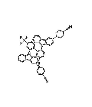 N#Cc1ccc(-c2ccc3c(c2)c2ccccc2n3-c2ccc(C#N)cc2-c2ccc(C(F)(F)F)cc2-n2c3ccccc3c3cc(-c4ccc(C#N)cc4)ccc32)cc1